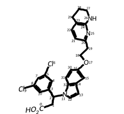 O=C(O)CC(c1cc(Cl)cc(Cl)c1)n1ccc2cc(OCCc3ccc4c(n3)NCCC4)ccc21